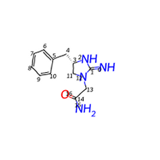 N=C1N[C@@H](Cc2ccccc2)CN1CC(N)=O